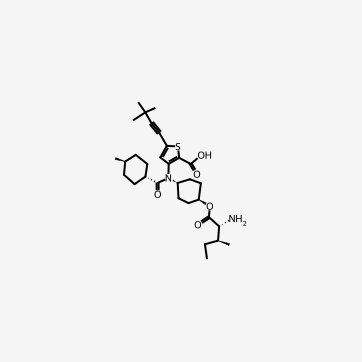 CC[C@H](C)[C@@H](N)C(=O)O[C@H]1CC[C@H](N(c2cc(C#CC(C)(C)C)sc2C(=O)O)C(=O)[C@H]2CC[C@H](C)CC2)CC1